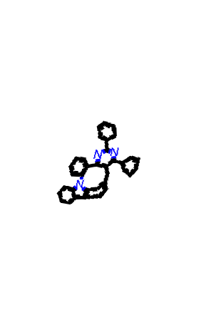 c1ccc(-c2nc(-c3ccccc3)c3c(n2)-c2ccccc2-n2c4ccccc4c4ccc(cc42)C3)cc1